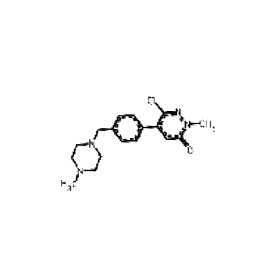 CN1CCN(Cc2ccc(-c3cc(=O)n(C)nc3Cl)cc2)CC1